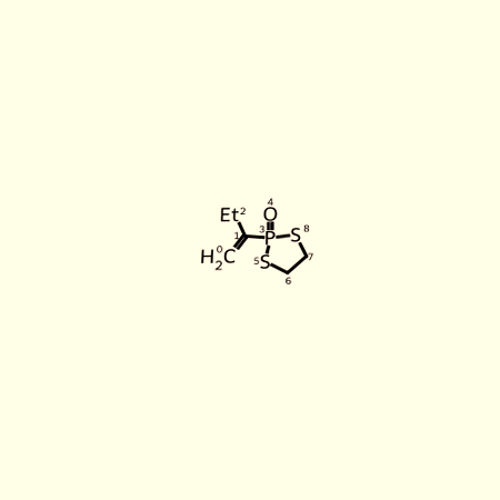 C=C(CC)P1(=O)SCCS1